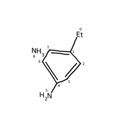 CCc1ccc(N)cc1.N